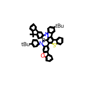 CC(C)(C)c1ccc(N2B3c4cc5c(cc4-n4c6ccc(C(C)(C)C)cc6c6c7c(sc8ccccc87)c(c3c64)-c3cc4c(cc32)oc2ccccc24)-c2ccccc2C5(C)C)cc1